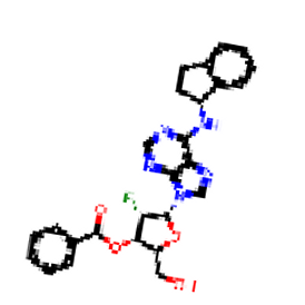 O=C(O[C@H]1[C@H](F)[C@H](n2cnc3c(N[C@H]4CCc5ccccc54)ncnc32)O[C@H]1CO)c1ccccc1